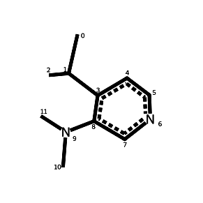 CC(C)c1ccncc1N(C)C